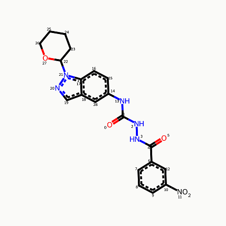 O=C(NNC(=O)c1cccc([N+](=O)[O-])c1)Nc1ccc2c(cnn2C2CCCCO2)c1